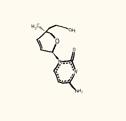 C[C@@]1(CO)C=C[C@H](n2ccc(N)nc2=O)O1